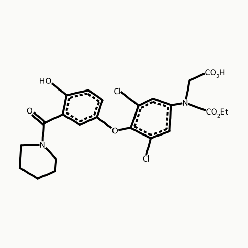 CCOC(=O)N(CC(=O)O)c1cc(Cl)c(Oc2ccc(O)c(C(=O)N3CCCCC3)c2)c(Cl)c1